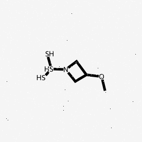 COC1CN([SH](S)S)C1